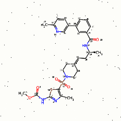 COC(=O)Nc1nc(C)c(S(=O)(=O)N2CCC(=CC[C@H](C)NC(=O)c3cccc(-c4ccc(C)nc4)c3)CC2)s1